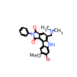 COc1cc2c(cc1Br)[nH]c1c(CN(C)C)cc3c(c12)C(=O)N(c1ccccc1)C3=O